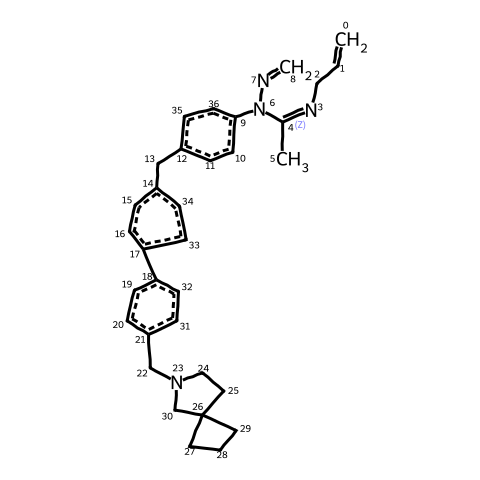 C=CC/N=C(/C)N(N=C)c1ccc(Cc2ccc(-c3ccc(CN4CCC5(CCC5)C4)cc3)cc2)cc1